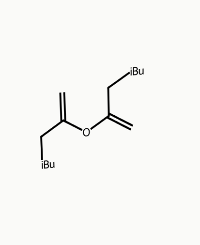 C=C(CC(C)CC)OC(=C)CC(C)CC